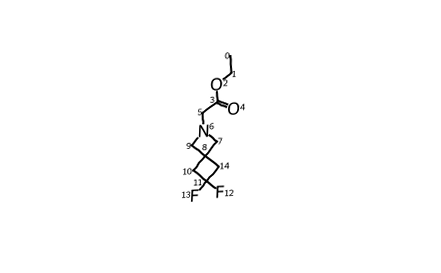 CCOC(=O)CN1CC2(C1)CC(F)(F)C2